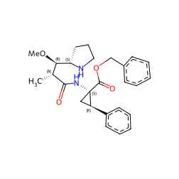 CO[C@@H]([C@@H]1CCCN1)[C@@H](C)C(=O)N[C@@]1(C(=O)OCc2ccccc2)C[C@@H]1c1ccccc1